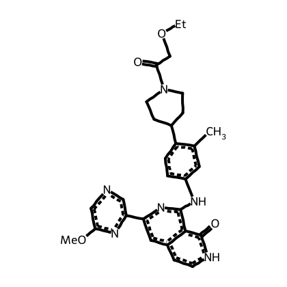 CCOCC(=O)N1CCC(c2ccc(Nc3nc(-c4cncc(OC)n4)cc4cc[nH]c(=O)c34)cc2C)CC1